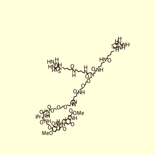 COC(=O)c1cc2c([nH]1)C(=O)C=C1N(C(=O)c3cc4cc(OC)c(OCCNC(=O)[C@@H](NC(=O)[C@H](C)NC(=O)OCCOCCOCCn5cc(CCC(=O)NCCOCCOCCN(CC(=O)NCCCCNC(=O)CCCC[C@@H]6SC[C@@H]7NC(=N)N[C@@H]76)CC(=O)NCCCCNC(=O)CCCC[C@@H]6SC[C@@H]7NC(=N)N[C@@H]76)nn5)C(C)C)c(OC)c4[nH]3)CC[C@@]12C